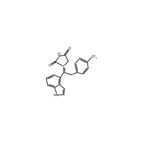 O=C1CS(=C(Cc2ccc(C(F)(F)F)cc2)c2cccc3[nH]ccc23)C(=O)N1